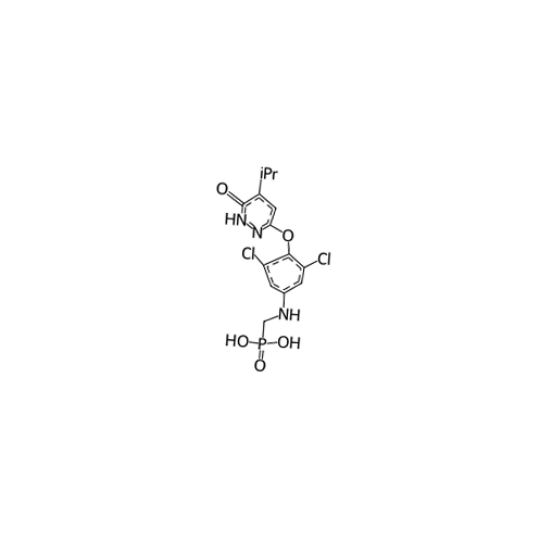 CC(C)c1cc(Oc2c(Cl)cc(NCP(=O)(O)O)cc2Cl)n[nH]c1=O